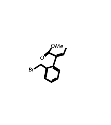 CC=C(C(=O)OC)c1ccccc1CBr